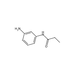 CCC(=O)Nc1cc[c]c(N)c1